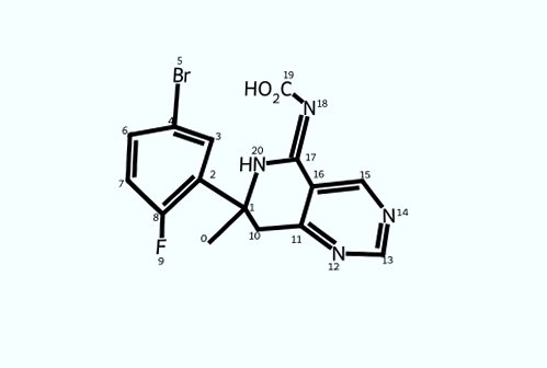 CC1(c2cc(Br)ccc2F)Cc2ncncc2/C(=N/C(=O)O)N1